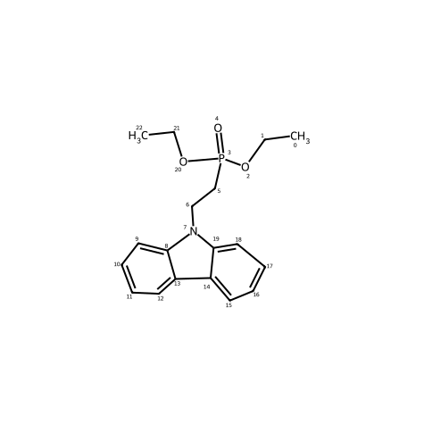 CCOP(=O)(CCn1c2ccccc2c2ccccc21)OCC